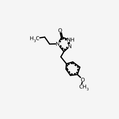 CCCn1c(Cc2ccc(OC)cc2)n[nH]c1=O